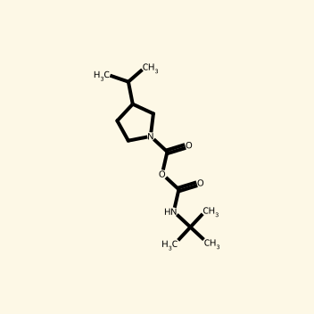 CC(C)C1CCN(C(=O)OC(=O)NC(C)(C)C)C1